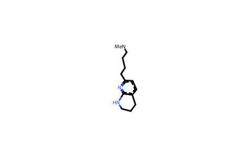 CNCCCCc1ccc2c(n1)NCCC2